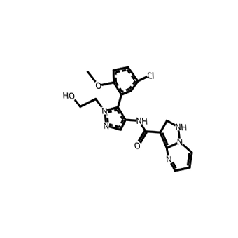 COc1ccc(Cl)cc1-c1c(NC(=O)C2=C3N=CC=CN3NC2)cnn1CCO